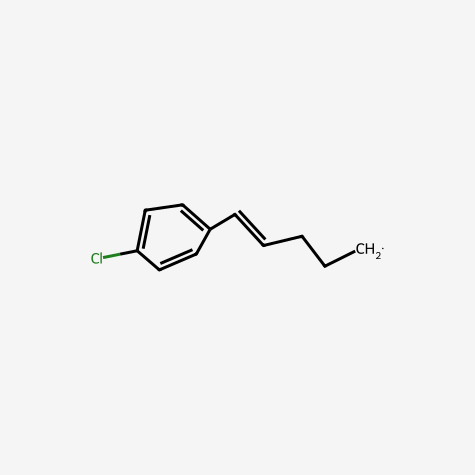 [CH2]CCC=Cc1ccc(Cl)cc1